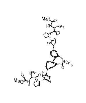 COC(=O)N[C@H](C(=O)N1CCC[C@H]1C1=NCC(c2ccc3c(c2)CN(C)C(=O)c2cc(-c4cnc([C@@H]5CCCN5C(=O)[C@@H](NC(=O)OC)C(C)C)[nH]4)ccc2-3)N1)C(C)C